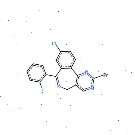 CC(C)c1ncc2c(n1)-c1ccc(Cl)cc1C(c1ccccc1Cl)=NC2